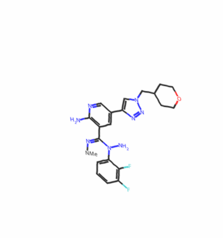 CN/N=C(/c1cc(-c2cn(CC3CCOCC3)nn2)cnc1N)N(N)c1cccc(F)c1F